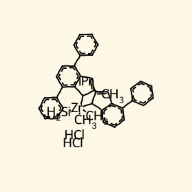 CC1=Cc2c(-c3ccccc3)ccc(-c3ccccc3)c2[CH]1[Zr]([CH3])([CH3])(=[SiH2])[CH]1C(C(C)C)=Cc2c(-c3ccccc3)cccc21.Cl.Cl